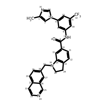 Cc1cn(-c2cc(NC(=O)c3ccc4c(c3)N(Cc3ccc5ccncc5c3)CC4)cc(C(F)(F)F)c2)cn1